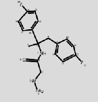 CCCCNCC(=O)NC(C)(Cc1ccc(F)cc1)c1ccc(F)cc1